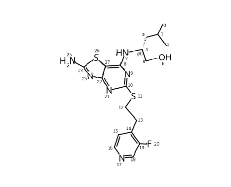 CC(C)C[C@H](CO)Nc1nc(SCCc2ccncc2F)nc2nc(N)sc12